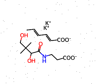 CC(C)(CO)C(O)C(=O)NCCC(=O)[O-].CC=CC=CC(=O)[O-].[K+].[K+]